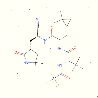 CC1(C)C[C@@H](C[C@@H](C#N)NC(=O)[C@H](CC2CC2(C)C)NC(=O)[C@@H](NC(=O)C(F)(F)F)C(C)(C)C)C(=O)N1